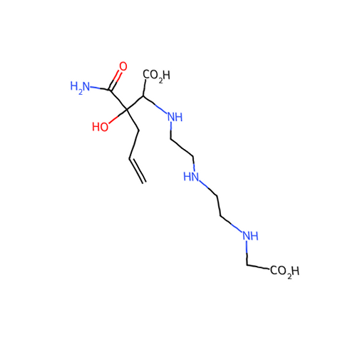 C=CCC(O)(C(N)=O)C(NCCNCCNCC(=O)O)C(=O)O